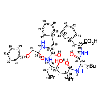 CCC(C)[C@H](NC(=O)[C@H](C[C@H](O)[C@H](CC(C)C)NC(=O)[C@H](Cc1ccccc1)NC(=O)COc1ccccc1)C(C)C)C(=O)N[C@@H](Cc1ccccc1)C(=O)O